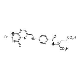 CC(C)c1nc(=O)c2nc(CNc3ccc(C(=O)N[C@@H](CCC(=O)O)C(=O)O)cc3)cnc2[nH]1